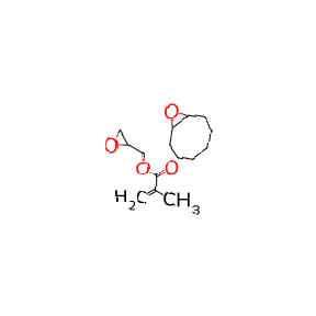 C1CCCC2OC2CC1.C=C(C)C(=O)OCC1CO1